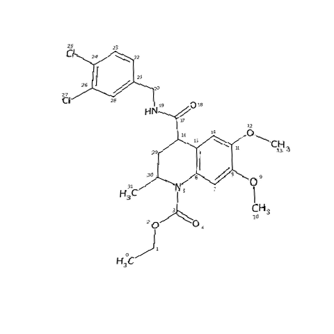 CCOC(=O)N1c2cc(OC)c(OC)cc2C(C(=O)NCc2ccc(Cl)c(Cl)c2)CC1C